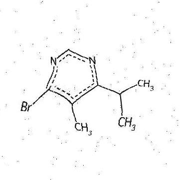 Cc1c(Br)ncnc1C(C)C